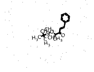 CC(O[Si](C)(C)C(C)(C)C)C(=O)C=Cc1ccccc1